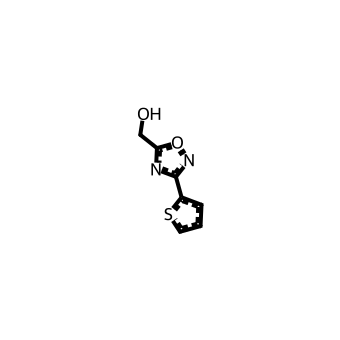 OCc1nc(-c2cccs2)no1